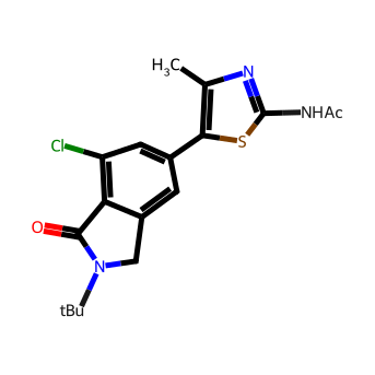 CC(=O)Nc1nc(C)c(-c2cc(Cl)c3c(c2)CN(C(C)(C)C)C3=O)s1